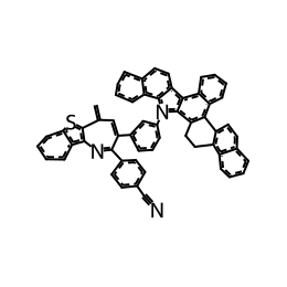 C=C1C=C(c2cccc(-n3c4c5c(c6ccccc6c4c4ccc6ccccc6c43)-c3ccc4ccccc4c3CC5)c2)C(c2ccc(C#N)cc2)=Nc2c1sc1ccccc21